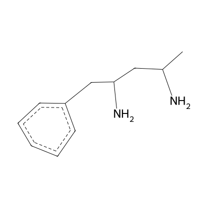 CC(N)CC(N)Cc1ccccc1